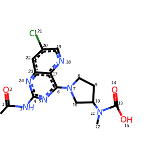 CC(=O)Nc1nc(N2CCC(N(C)C(=O)O)C2)c2ncc(Cl)cc2n1